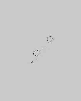 C#CC(O)c1cccc(C2=N[C@H](c3ccccc3)CO2)c1F